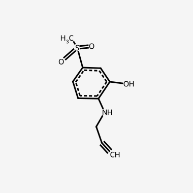 C#CCNc1ccc(S(C)(=O)=O)cc1O